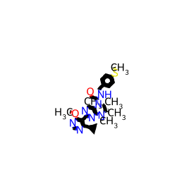 CC[C@H](C)N(C)c1nc(-c2c(OC)ncnc2C2CC2)nc(C)c1/N=C(\C=O)NCc1ccc(SC)cc1